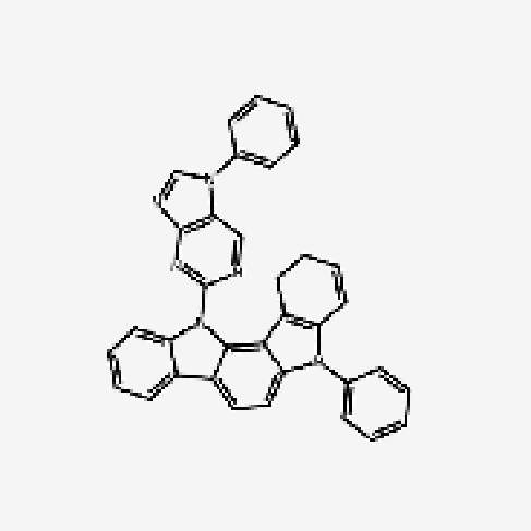 C1=Cc2c(c3c(ccc4c5ccccc5n(-c5ncc6c(ncn6-c6ccccc6)n5)c43)n2-c2ccccc2)CC1